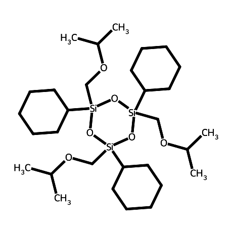 CC(C)OC[Si]1(C2CCCCC2)O[Si](COC(C)C)(C2CCCCC2)O[Si](COC(C)C)(C2CCCCC2)O1